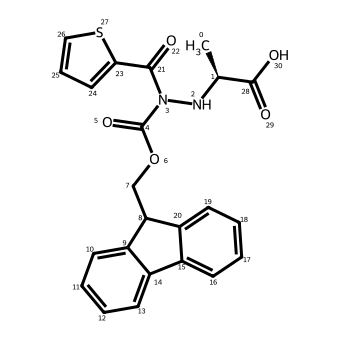 C[C@H](NN(C(=O)OCC1c2ccccc2-c2ccccc21)C(=O)c1cccs1)C(=O)O